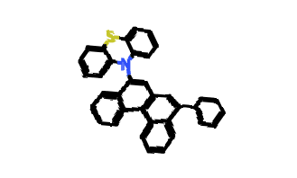 c1ccc(-c2cc3cc(N4c5ccccc5Sc5ccccc54)c4ccccc4c3c3ccccc23)cc1